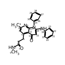 CNC(=O)CCc1cc(C)nc2c1c(=O)cc(Nc1ccccc1)n2-c1ccccc1